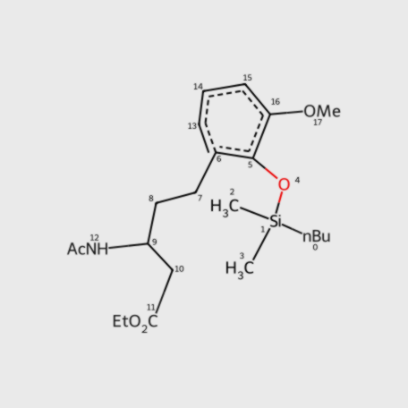 CCCC[Si](C)(C)Oc1c(CCC(CC(=O)OCC)NC(C)=O)cccc1OC